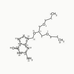 CCCOCC(COCCC)OCn1cnc2c(=O)[nH]c(N)nc21